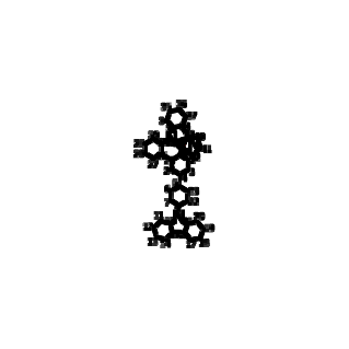 N#Cc1ccc(-c2ccc(-n3c4ccccc4c4ccccc43)cc2)cc1-c1ccccc1-n1c2ccccc2c2ccccc21